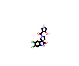 O=C(C1CNCC1O)N1CC[C@]2(C1)C(=O)Nc1cc(Cl)c(Cl)cc12